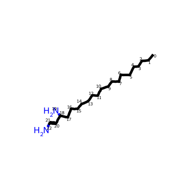 CCCCCCCCCCCCCCCCCCC(N)C=CN